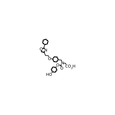 O=C(O)CN(Cc1ccc(OCCc2coc(-c3ccccc3)n2)cc1)C(=O)Oc1ccc(O)cc1